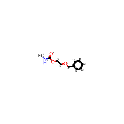 CCNC(=O)OCCOCc1ccccc1